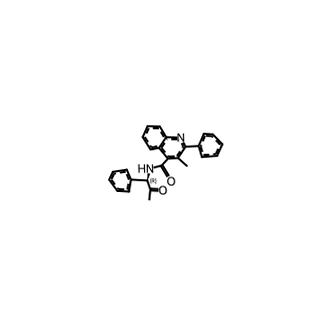 CC(=O)[C@H](NC(=O)c1c(C)c(-c2ccccc2)nc2ccccc12)c1ccccc1